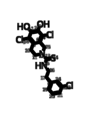 Oc1c(O)c(Cl)c2c(c1Cl)CCN(C(=S)NCCc1cccc(Cl)c1)C2